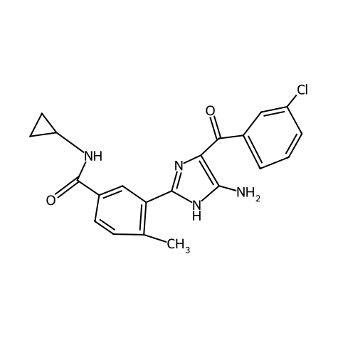 Cc1ccc(C(=O)NC2CC2)cc1-c1nc(C(=O)c2cccc(Cl)c2)c(N)[nH]1